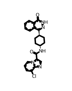 O=C(N[C@H]1CC[C@H](c2n[nH]c(=O)c3ccccc32)CC1)c1cnc2c(Cl)cccn12